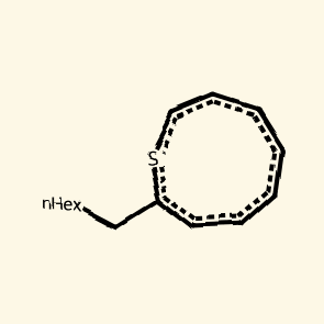 CCCCCCCc1cccccccs1